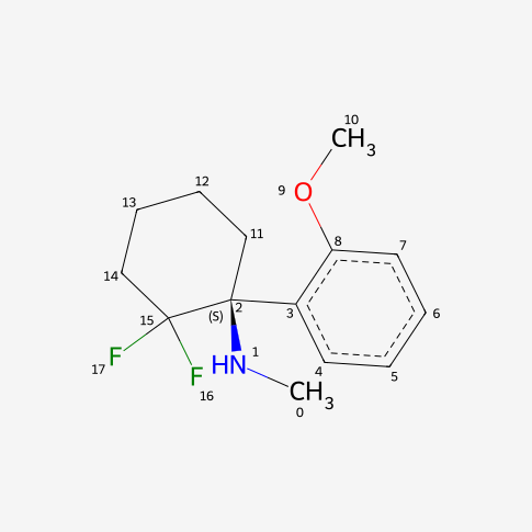 CN[C@]1(c2ccccc2OC)CCCCC1(F)F